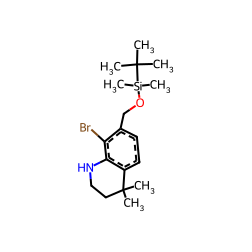 CC1(C)CCNc2c1ccc(CO[Si](C)(C)C(C)(C)C)c2Br